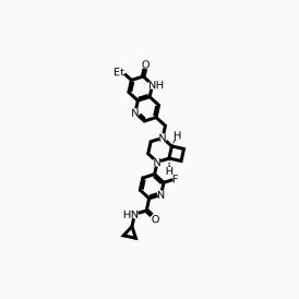 CCc1cc2ncc(CN3CCN(c4ccc(C(=O)NC5CC5)nc4F)[C@@H]4CC[C@@H]43)cc2[nH]c1=O